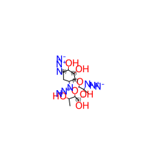 CC(O)C(OC(O[C@@H]1C(N=[N+]=[N-])C[C@@H](N=[N+]=[N-])C(O)[C@H]1O)C(C)(O)N=[N+]=[N-])[C@H](C)O